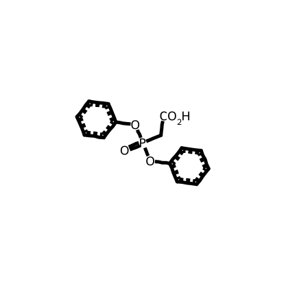 O=C(O)CP(=O)(Oc1ccccc1)Oc1ccccc1